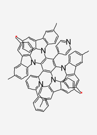 Cc1ccc2c(c1)c1cc(C)ccc1n2-c1c(-c2ccncc2)c(-n2c3ccc(C)cc3c3cc(C)ccc32)c(-n2c3ccc(C)cc3c3cc(C)ccc32)c(-c2cccc(-c3ccccc3)n2)c1-n1c2ccc(C)cc2c2cc(C)ccc21